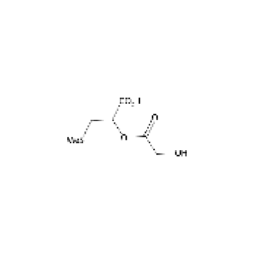 CSCC(OC(=O)CO)C(=O)O